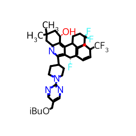 CC(C)COCc1cnc(N2CCC(c3nc4c(c(C5CCC(F)(F)CC5)c3[C@@H](F)C3=CCC(C(F)(F)F)C=C3)[C@@H](O)CC(C)(C)C4)CC2)nc1